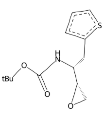 CC(C)(C)OC(=O)N[C@H](Cc1cccs1)[C@@H]1CO1